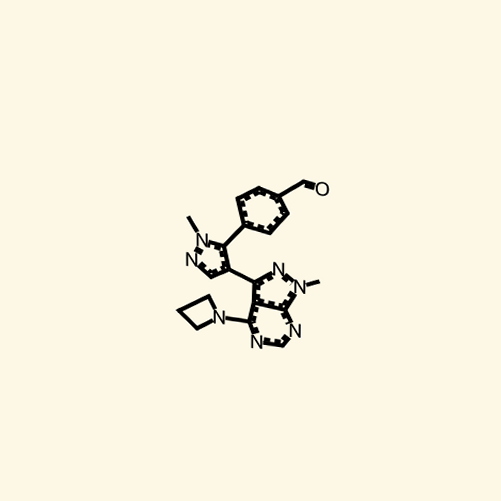 Cn1ncc(-c2nn(C)c3ncnc(N4CCC4)c23)c1-c1ccc(C=O)cc1